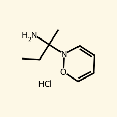 CCC(C)(N)N1C=CC=CO1.Cl